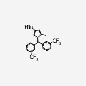 CC1=CC(C(C)(C)C)=CC1=C(c1cccc(C(F)(F)F)c1)c1cccc(C(F)(F)F)c1